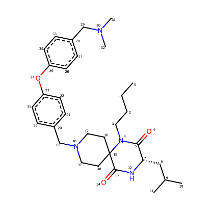 CCCCN1C(=O)[C@H](CC(C)C)NC(=O)C12CCN(Cc1ccc(Oc3ccc(CN(C)C)cc3)cc1)CC2